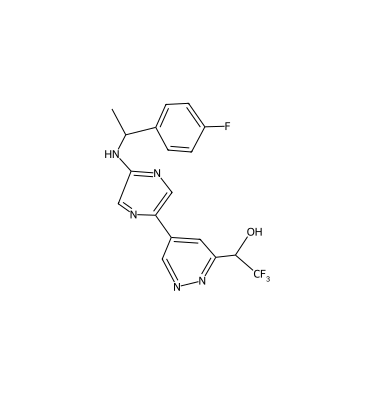 CC(Nc1cnc(-c2cnnc(C(O)C(F)(F)F)c2)cn1)c1ccc(F)cc1